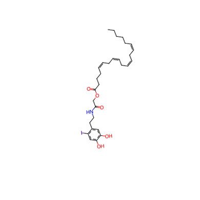 CCCCC/C=C\C/C=C\C/C=C\C/C=C\CCCC(=O)OCC(=O)NCCc1cc(O)c(O)cc1I